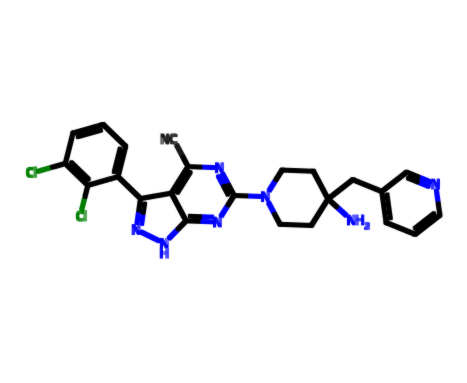 N#Cc1nc(N2CCC(N)(Cc3cccnc3)CC2)nc2[nH]nc(-c3cccc(Cl)c3Cl)c12